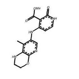 COC(=O)c1c(Nc2cnc3c(c2C)NCCO3)cc[nH]c1=O